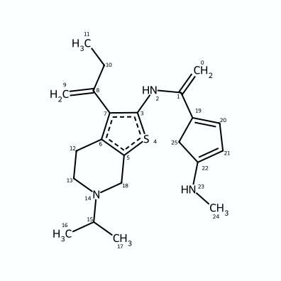 C=C(Nc1sc2c(c1C(=C)CC)CCN(C(C)C)C2)C1=CC=C(NC)C1